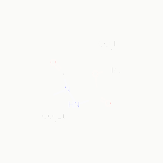 CCOC(=O)CN(NC(=O)OC(C)(C)C)C(=O)CCC(=O)O